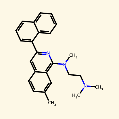 Cc1ccc2cc(-c3cccc4ccccc34)nc(N(C)CCN(C)C)c2c1